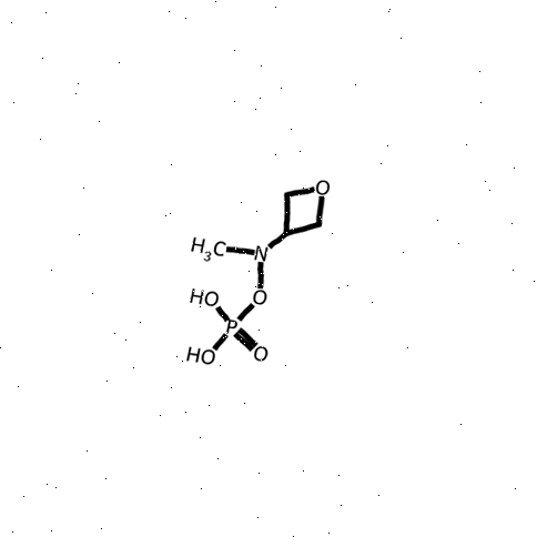 CN(OP(=O)(O)O)C1COC1